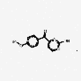 CCCOc1ccc(C(=O)c2ccnc(O)n2)cc1